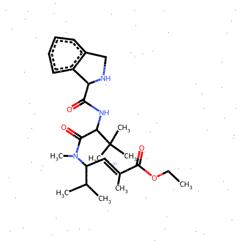 CCOC(=O)/C(C)=C/C(C(C)C)N(C)C(=O)C(NC(=O)C1NCc2ccccc21)C(C)(C)C